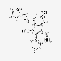 Cn1c([C@@H]2CCOC[C@H]2N)c(Br)c2nc(Cl)cc(NCc3cccs3)c21